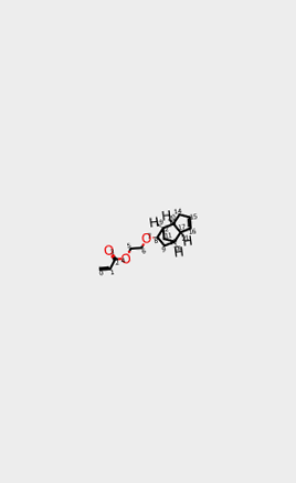 C=CC(=O)OCCO[C@H]1C[C@H]2C[C@@H]1[C@@H]1CC=C[C@H]21